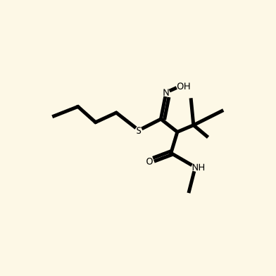 CCCCSC(=NO)C(C(=O)NC)C(C)(C)C